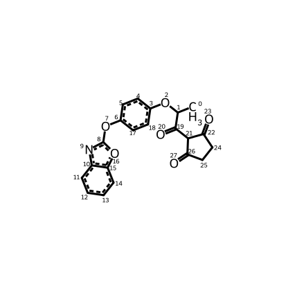 CC(Oc1ccc(Oc2nc3ccccc3o2)cc1)C(=O)C1C(=O)CCC1=O